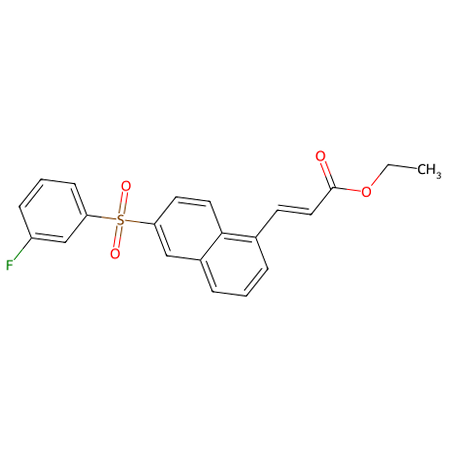 CCOC(=O)/C=C/c1cccc2cc(S(=O)(=O)c3cccc(F)c3)ccc12